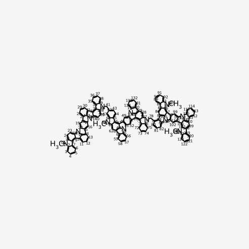 Cn1c2ccccc2c2c3c4cccc5c6cc7c(cc6n(c3ccc21)c54)c1cccc2c3c4c5ccccc5n(Cc5ccc6c8c9c%10cc%11c(cc%10n%10c%12ccccc%12c(cc8n(C)c6c5)c9%10)c5c6c8ccccc8n(Cc8cccc9c8c8cc%10c%12ccccc%12n(C)c%10c%10c%12cc%13c(cc%12n9c8%10)c8c9c(cc%10c%12ccccc%12n%13c%108)c8ccccc8n9C)c6cc6c8ccccc8n%11c65)c4ccc3n7c12